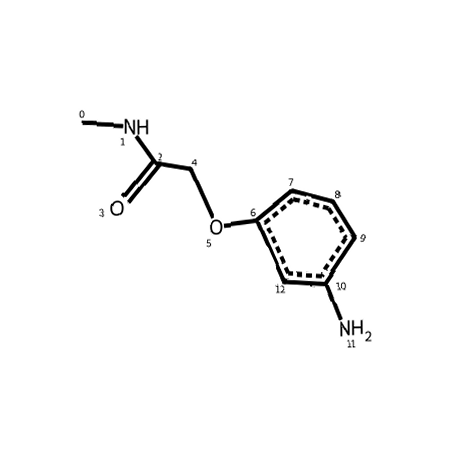 CNC(=O)COc1cccc(N)c1